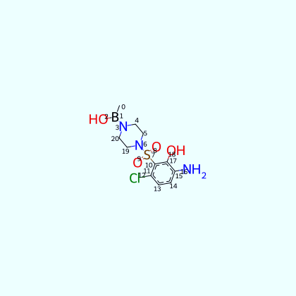 CB(O)N1CCN(S(=O)(=O)c2c(Cl)ccc(N)c2O)CC1